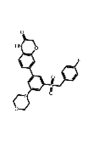 O=C1COc2cc(-c3cc(N4CCOCC4)cc(S(=O)(=O)Cc4ccc(F)cc4)c3)ccc2N1